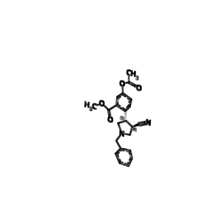 COC(=O)c1cc(OC(C)=O)ccc1[C@H]1CN(Cc2ccccc2)C[C@@H]1C#N